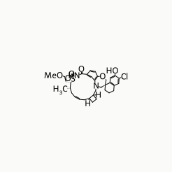 COCC[C@H]1[C@@H](C)C/C=C\C[C@H]2CC[C@H]2CN2C[C@@]3(CCCc4cc(Cl)c(O)cc43)COc3ccc(cc32)C(=O)NS1(=O)=O